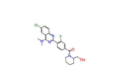 CN(C)c1nc(-c2ccc(C(=O)N3CCCCC3CO)cc2F)nc2ccc(Cl)cc12